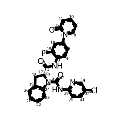 O=C(Nc1ccc(-n2ccccc2=O)cc1F)[C@H]1Cc2ccccc2N1C(=O)Nc1ccc(Cl)cn1